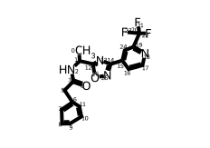 CC(NC(=O)Cc1ccccc1)c1nc(-c2ccnc(C(F)(F)F)c2)no1